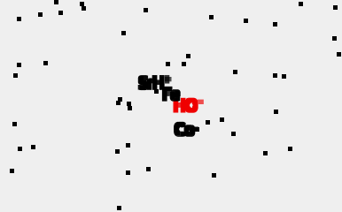 [Co].[Fe].[OH-].[SrH+]